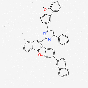 c1ccc(-c2cc(-c3ccc4oc5ccccc5c4c3)nc(-c3cc4ccccc4c4oc5cc(-c6ccc7ccccc7c6)ccc5c34)n2)cc1